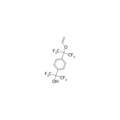 C=COC(c1ccc(C(O)(C(F)(F)F)C(F)(F)F)cc1)(C(F)(F)F)C(F)(F)F